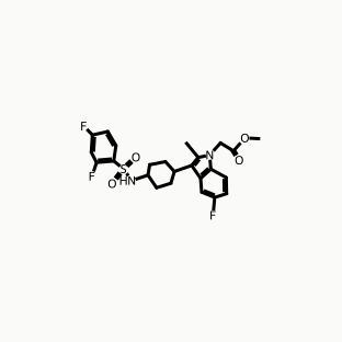 COC(=O)Cn1c(C)c(C2CCC(NS(=O)(=O)c3ccc(F)cc3F)CC2)c2cc(F)ccc21